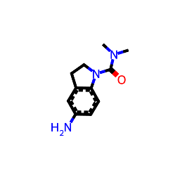 CN(C)C(=O)N1CCc2cc(N)ccc21